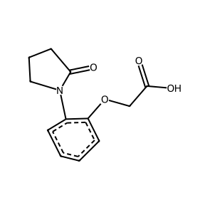 O=C(O)COc1ccccc1N1CCCC1=O